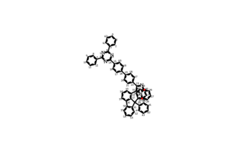 c1ccc(-c2nc(-c3ccccc3)nc(-c3ccc(-c4ccc(-c5nc6ccccn6c5-c5cccc6c5C(c5ccccc5)(c5ccccc5)c5ccccc5-6)cc4)cc3)n2)cc1